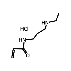 C=CC(=O)NCCCNCC.Cl